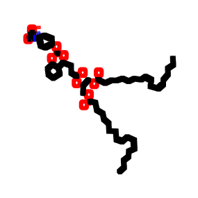 CCCCC/C=C\C/C=C\CCCCCCCC(=O)OCC(COC(=O)CCCCCCC/C=C\C/C=C\CCCCC)OC(=O)CCC(OC(=O)Oc1ccc([N+](=O)[O-])cc1)C1CCCCC1